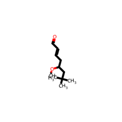 COC(C/C=C/C=O)CC(C)(C)C